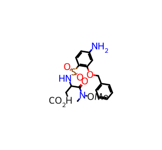 CON(C)C(=O)C(CC(=O)O)NS(=O)(=O)c1ccc(N)cc1OCc1ccccc1